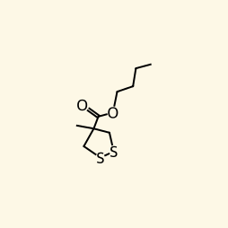 CCCCOC(=O)C1(C)CSSC1